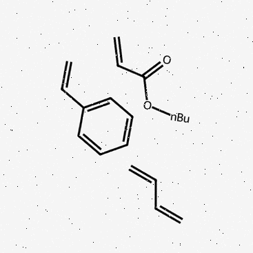 C=CC(=O)OCCCC.C=CC=C.C=Cc1ccccc1